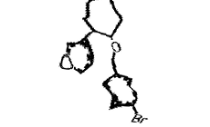 Brc1ccc(CO[C@H]2CCCC[C@@H]2c2ccoc2)cc1